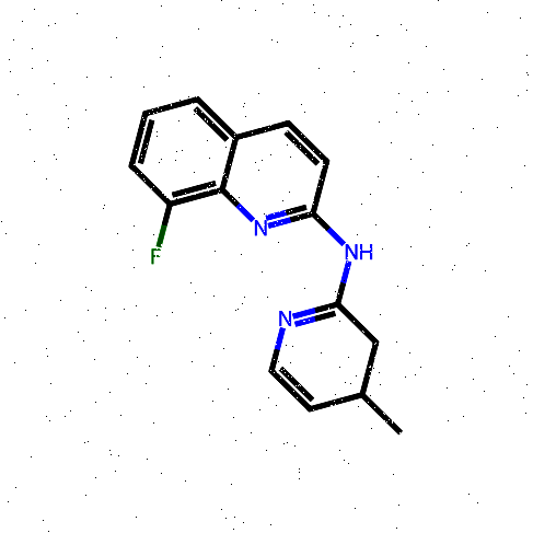 CC1C=CN=C(Nc2ccc3cccc(F)c3n2)C1